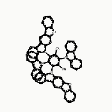 N#Cc1c(-n2c3ccccc3c3ccccc32)c(C#N)c(-n2c3ccccc3c3cc4c(cc32)oc2ccccc24)c(-n2c3ccccc3c3ccccc32)c1-n1c2ccccc2c2cc3c(cc21)oc1ccccc13